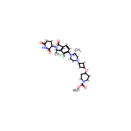 C[C@@H]1CN(C2CC(OC3CCN(C(=O)OC(C)(C)C)CC3)C2)CCN1c1ccc2c(c1Cl)[C@@H](C)N(C1CCC(=O)NC1=O)C2=O